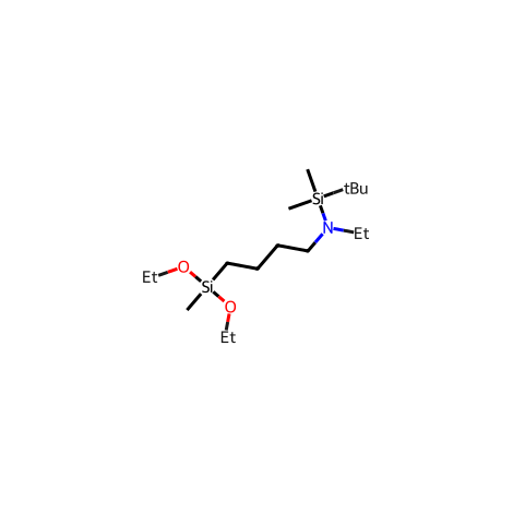 CCO[Si](C)(CCCCN(CC)[Si](C)(C)C(C)(C)C)OCC